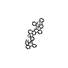 c1ccc(-c2ccccc2N(c2ccc3c(c2)Oc2cccc4c2c-3cc2c3ccccc3c(N(c3ccccc3)c3cccc5c3oc3ccccc35)cc42)c2ccccn2)cc1